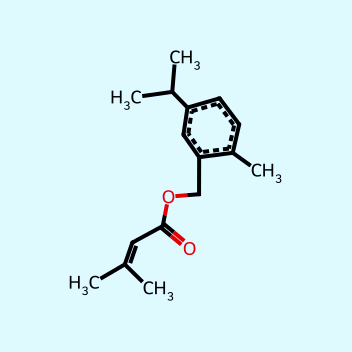 CC(C)=CC(=O)OCc1cc(C(C)C)ccc1C